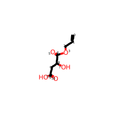 C=CCOC(=O)C(O)CC(=O)O